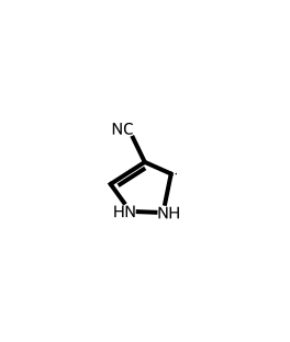 N#CC1=CNN[CH]1